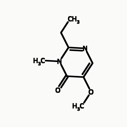 CCc1ncc(OC)c(=O)n1C